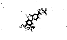 COC(=O)c1ccc(N2CCC(C(=O)OC(C)(C)C)CC2N)cc1S(C)(=O)=O